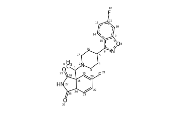 CC(N1CCC(c2noc3cc(F)ccc23)CC1)C12C=C(F)C=CC1C(=O)NC2=O